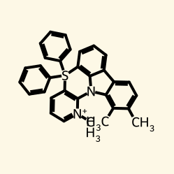 Cc1ccc2c3cccc4c3n(c2c1C)-c1c(ccc[n+]1C)S4(c1ccccc1)c1ccccc1